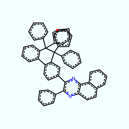 c1ccc(-c2nc3ccc4ccccc4c3nc2-c2ccc3c(c2)C(c2ccccc2)(c2ccccc2)C(c2ccccc2)(c2ccccc2)c2ccccc2-3)cc1